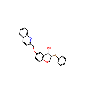 OC1c2cc(OCc3ccc4ccccc4n3)ccc2OCC1Sc1ccccc1